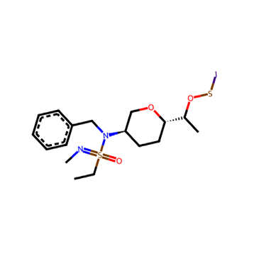 CCS(=O)(=NC)N(Cc1ccccc1)[C@@H]1CC[C@@H](C(C)OSI)OC1